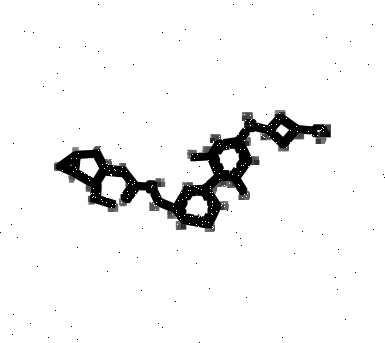 C=C(/C=C1/CC2CC2/C1=C/C)OCc1cccc(-c2c(C)cc(OC3CC(C#N)C3)cc2C)c1